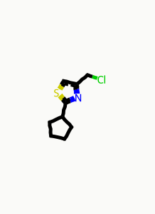 ClCc1csc(C2CCCC2)n1